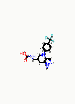 Cn1ncc2c1CC(CNC(=O)O)CN2c1ccc(C(F)(F)F)cc1